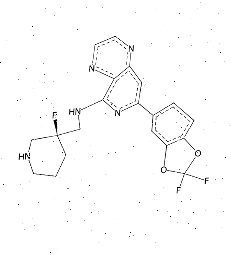 FC1(F)Oc2ccc(-c3cc4nccnc4c(NC[C@]4(F)CCCNC4)n3)cc2O1